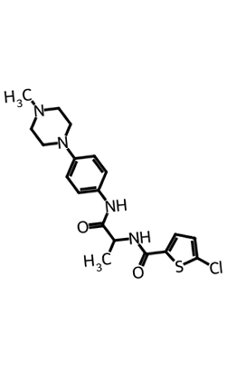 CC(NC(=O)c1ccc(Cl)s1)C(=O)Nc1ccc(N2CCN(C)CC2)cc1